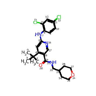 CC(C)(C)c1cc(Nc2ccc(Cl)cc2Cl)ncc1C(=O)NCC1CCOCC1